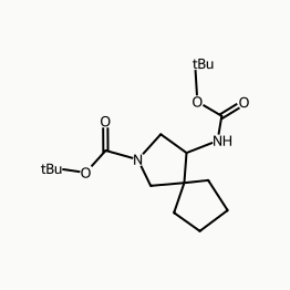 CC(C)(C)OC(=O)NC1CN(C(=O)OC(C)(C)C)CC12CCCC2